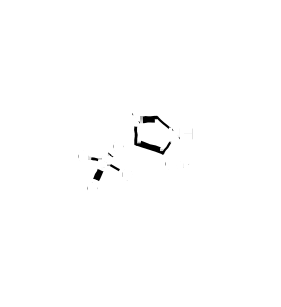 O=S(=O)([O-])[O-].[Co+2].c1c[nH]cn1